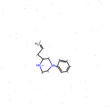 C=CCC1CN(c2cc[c]cc2)CCN1